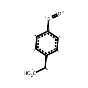 O=[S+]c1ccc(CC(=O)O)cc1